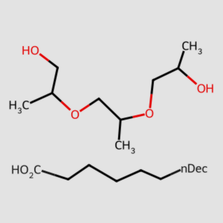 CC(O)COC(C)COC(C)CO.CCCCCCCCCCCCCCCC(=O)O